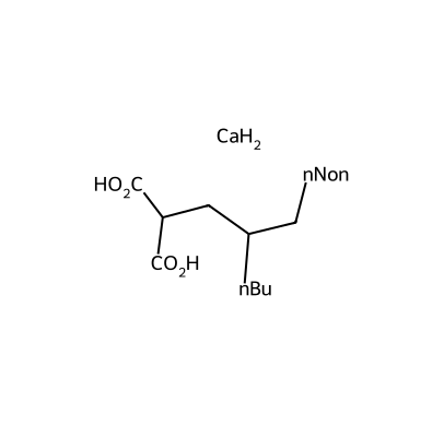 CCCCCCCCCCC(CCCC)CC(C(=O)O)C(=O)O.[CaH2]